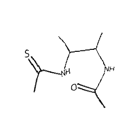 CC(=O)NC(C)C(C)NC(C)=S